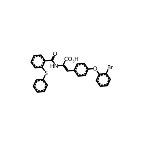 O=C(O)/C(=C\c1ccc(Oc2ccccc2Br)cc1)NC(=O)c1ccccc1Sc1ccccc1